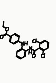 CCOC(=O)c1ccc(Nc2ccccc2NC(=O)c2c(Cl)cccc2Cl)cc1